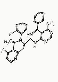 C=C1c2c(C)ccnc2C=C(CNc2ncnc(N)c2C(=N)c2ccccc2)N1c1ccccc1F